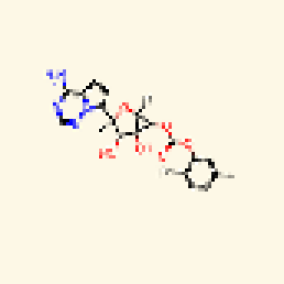 Cc1ccc(C(C)C)c(OC(=O)OC2[C@H]3O[C@@](C)(c4ccc5c(N)ncnn45)[C@H](O)[C@@]23O)c1